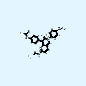 C=C1C(c2ccc(OC(F)F)cc2)=c2nc(NCC(F)(F)F)ccc2=CN1c1ccc(OC)cc1